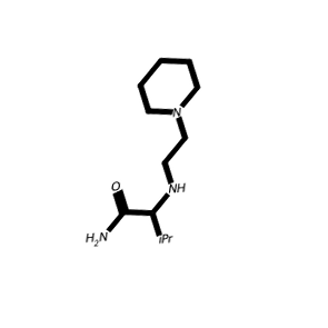 CC(C)C(NCCN1CCCCC1)C(N)=O